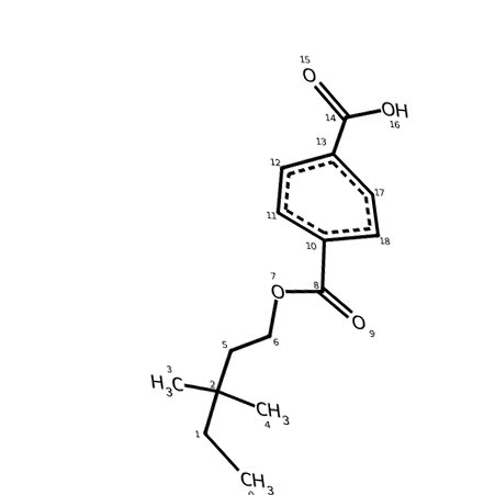 CCC(C)(C)CCOC(=O)c1ccc(C(=O)O)cc1